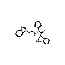 O=C(c1c[nH]c2ccccc12)[C@H](NCCn1cnc2ccccc21)c1ccccc1